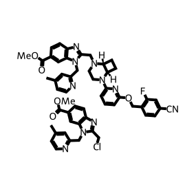 COC(=O)c1ccc2nc(CCl)n(Cc3cc(C)ccn3)c2c1.COC(=O)c1ccc2nc(CN3CCN(c4cccc(OCc5ccc(C#N)cc5F)n4)[C@H]4CC[C@H]43)n(Cc3cc(C)ccn3)c2c1